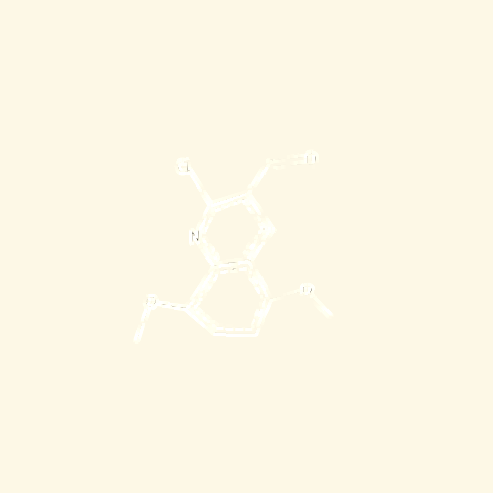 COc1ccc(OC)c2nc(Cl)c(C=O)cc12